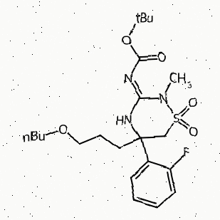 CCCCOCCCC1(c2ccccc2F)CS(=O)(=O)N(C)/C(=N\C(=O)OC(C)(C)C)N1